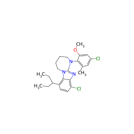 CCC(CC)c1ccc(Cl)c2nc3n(c12)CCCCN3c1c(C)cc(Cl)cc1OC